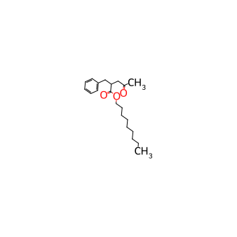 CCCCCCCCCOC(=O)C(CC(C)=O)Cc1ccccc1